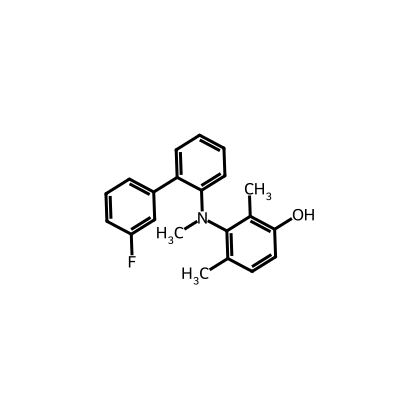 Cc1ccc(O)c(C)c1N(C)c1ccccc1-c1cccc(F)c1